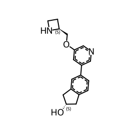 O[C@H]1Cc2ccc(-c3cncc(OC[C@@H]4CCN4)c3)cc2C1